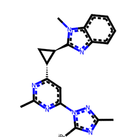 Cc1nc([C@@H]2C[C@H]2c2nc3ccccc3n2C)cc(-n2nc(C)nc2C(C)C)n1